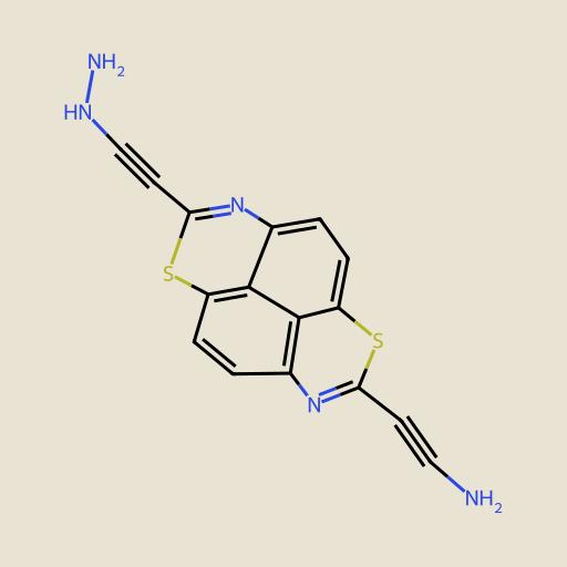 NC#CC1=Nc2ccc3c4c(ccc(c24)S1)N=C(C#CNN)S3